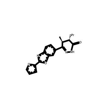 CCC[C@@H]1C(=O)NN=C(c2ccc3nc(-c4ccco4)oc3c2)[C@H]1C